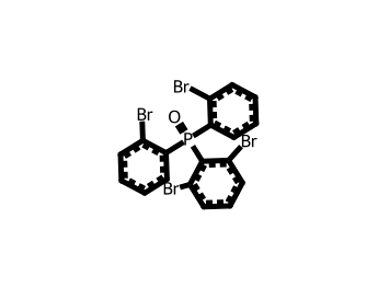 O=P(c1ccccc1Br)(c1ccccc1Br)c1c(Br)cccc1Br